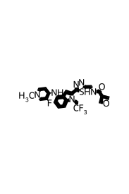 CN1CC[C@H](Nc2cccc3c2cc(-c2nnc(CNC(=O)C4COC4)s2)n3CC(F)(F)F)[C@H](F)C1